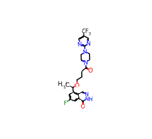 CC(OCCCC(=O)N1CCN(c2ncc(C(F)(F)F)cn2)CC1)c1cc(F)cc2c(=O)[nH]ncc12